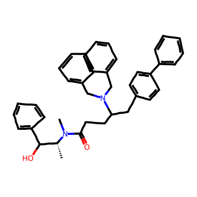 C[C@H](C(O)c1ccccc1)N(C)C(=O)CCC(Cc1ccc(-c2ccccc2)cc1)N(Cc1ccccc1)Cc1ccccc1